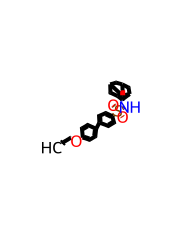 C#CCOc1ccc(-c2ccc(S(=O)(=O)NC3C4CC5CC(C4)CC3C5)cc2)cc1